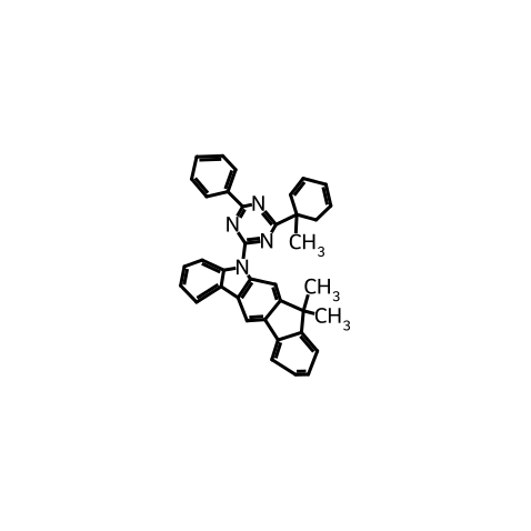 CC1(c2nc(-c3ccccc3)nc(-n3c4ccccc4c4cc5c(cc43)C(C)(C)c3ccccc3-5)n2)C=CC=CC1